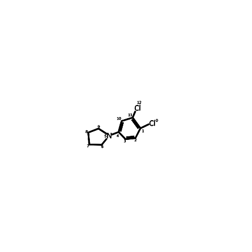 Clc1ccc(N2CCCC2)cc1Cl